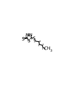 CCCCCCSC1N=NC(=S)S1